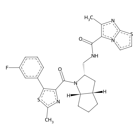 Cc1nc(C(=O)N2[C@H](CNC(=O)c3c(C)nc4sccn34)C[C@@H]3CCC[C@@H]32)c(-c2cccc(F)c2)s1